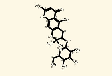 Cc1cc(=O)c2c(O)c3c(cc2o1)OC(C)(C)C(OC1OC(CO)C(O)C(O)C1O)C3